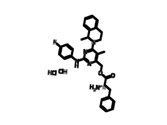 Cc1c(COC(=O)[C@@H](N)Cc2ccccc2)nc(Nc2ccc(F)cc2)nc1N1CCc2ccccc2C1C.Cl.Cl